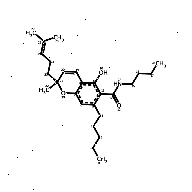 CCCCCc1cc2c(c(O)c1C(=O)NCCCC)C=CC(C)(CCC=C(C)C)O2